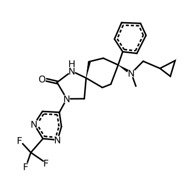 CN(CC1CC1)[C@]1(c2ccccc2)CC[C@@]2(CC1)CN(c1cnc(C(F)(F)F)nc1)C(=O)N2